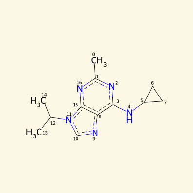 Cc1nc(NC2CC2)c2ncn(C(C)C)c2n1